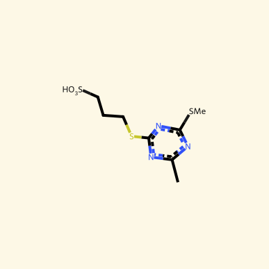 CSc1nc(C)nc(SCCCS(=O)(=O)O)n1